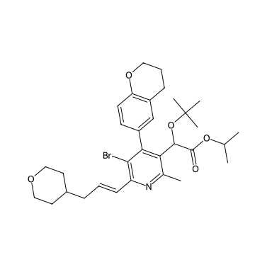 Cc1nc(C=CCC2CCOCC2)c(Br)c(-c2ccc3c(c2)CCCO3)c1C(OC(C)(C)C)C(=O)OC(C)C